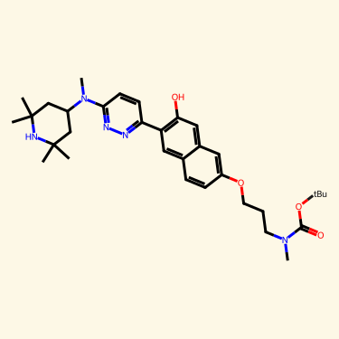 CN(CCCOc1ccc2cc(-c3ccc(N(C)C4CC(C)(C)NC(C)(C)C4)nn3)c(O)cc2c1)C(=O)OC(C)(C)C